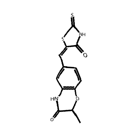 CC1Oc2ccc(C=C3SC(=S)NC3=O)cc2NC1=O